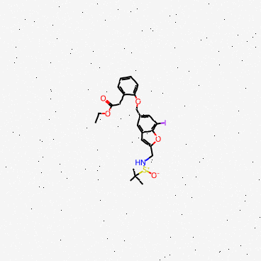 CCOC(=O)Cc1ccccc1OCc1cc(I)c2oc(CN[S+]([O-])C(C)(C)C)cc2c1